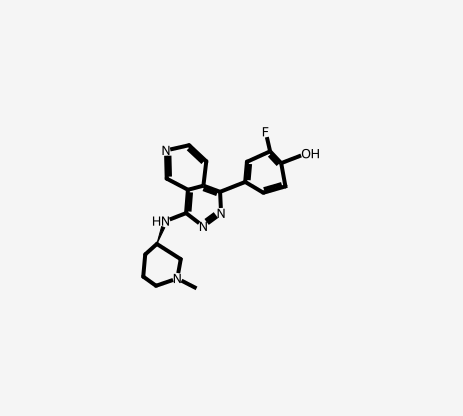 CN1CCC[C@@H](Nc2nnc(-c3ccc(O)c(F)c3)c3ccncc23)C1